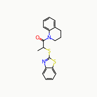 CC(Sc1nc2ccccc2s1)C(=O)N1CCCc2ccccc21